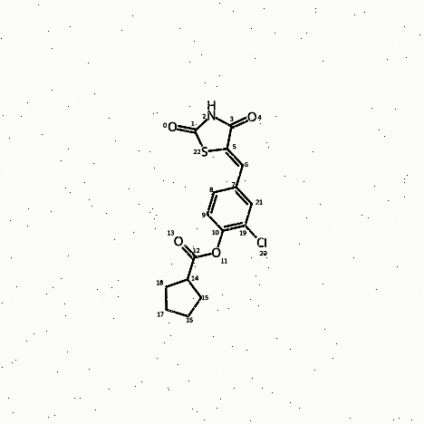 O=C1NC(=O)/C(=C/c2ccc(OC(=O)C3CCCC3)c(Cl)c2)S1